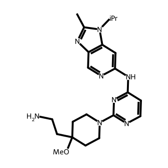 COC1(CCN)CCN(c2nccc(Nc3cc4c(cn3)nc(C)n4C(C)C)n2)CC1